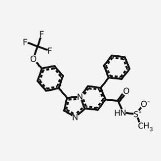 C[S+]([O-])NC(=O)c1cc2ncc(-c3ccc(OC(F)(F)F)cc3)n2cc1-c1ccccc1